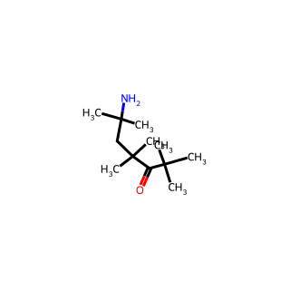 CC(C)(N)CC(C)(C)C(=O)C(C)(C)C